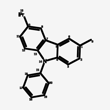 Cc1ccc2c(c1)c1cc(C(C)C)ccc1n2-c1ccccc1